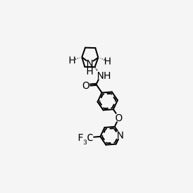 O=C(N[C@@H]1C[C@H]2CC[C@@H]1N2)c1ccc(Oc2cc(C(F)(F)F)ccn2)cc1